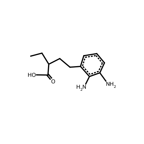 CCC(CCc1cccc(N)c1N)C(=O)O